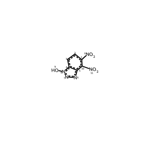 O=[N+]([O-])c1ccc2c(nnn2O)c1[N+](=O)[O-]